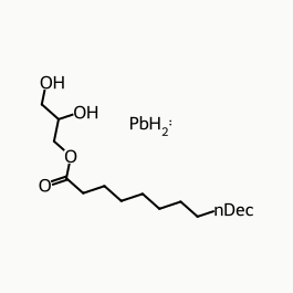 CCCCCCCCCCCCCCCCCC(=O)OCC(O)CO.[PbH2]